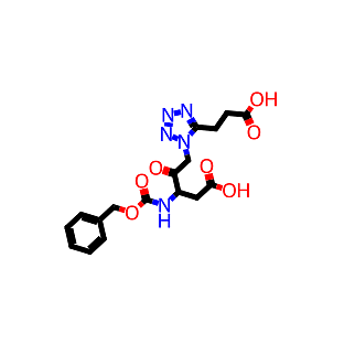 O=C(O)CCc1nnnn1CC(=O)C(CC(=O)O)NC(=O)OCc1ccccc1